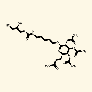 CC(=O)OC[C@H]1O[C@@H](OCCCCCNC(=O)OC[C@H](O)CO)[C@H](CC(N)=O)[C@@H](OC(C)=O)[C@H]1OC(C)=O